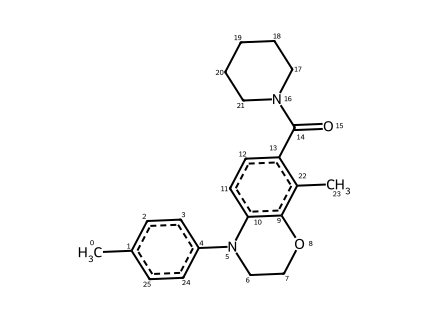 Cc1ccc(N2CCOc3c2ccc(C(=O)N2CCCCC2)c3C)cc1